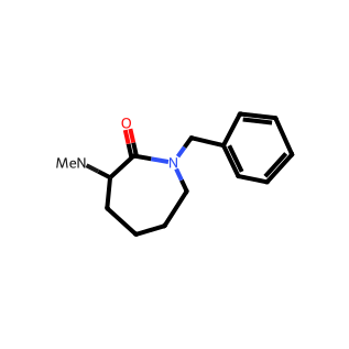 CNC1CCCCN(Cc2ccccc2)C1=O